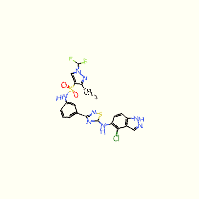 Cc1nn(C(F)F)cc1S(=O)(=O)Nc1cccc(-c2nsc(Nc3ccc4[nH]ncc4c3Cl)n2)c1